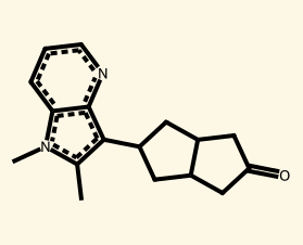 Cc1c(C2CC3CC(=O)CC3C2)c2ncccc2n1C